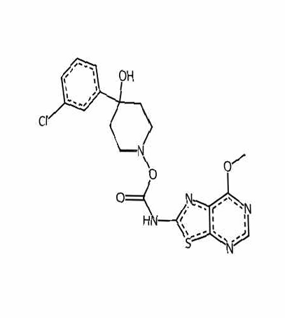 COc1ncnc2sc(NC(=O)ON3CCC(O)(c4cccc(Cl)c4)CC3)nc12